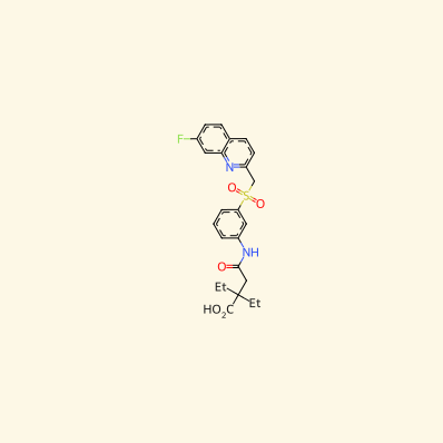 CCC(CC)(CC(=O)Nc1cccc(S(=O)(=O)Cc2ccc3ccc(F)cc3n2)c1)C(=O)O